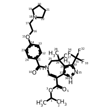 CC(C)OC(=O)C1=CN(C(=O)c2ccc(OCCN3CCCC3)cc2)CC(C)(C)c2c(C(F)(F)F)n[nH]c21